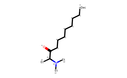 CCCCCCCCCCCCCCCCCC(=O)C(CC)N(CC)CC